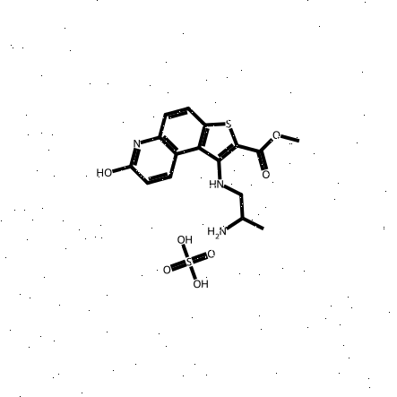 COC(=O)c1sc2ccc3nc(O)ccc3c2c1NCC(C)N.O=S(=O)(O)O